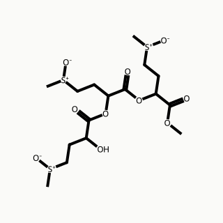 COC(=O)C(CC[S+](C)[O-])OC(=O)C(CC[S+](C)[O-])OC(=O)C(O)CC[S+](C)[O-]